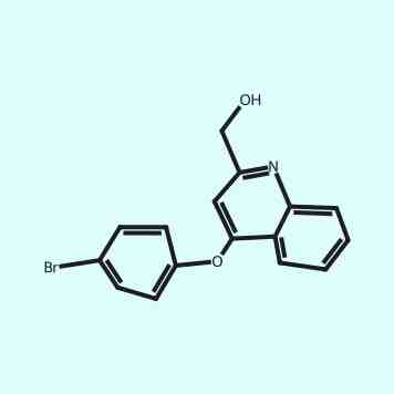 OCc1cc(Oc2ccc(Br)cc2)c2ccccc2n1